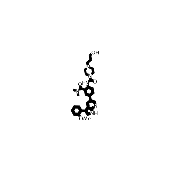 COc1ccccc1-c1c[nH]c2ncc(-c3ccc(NC(=O)N4CCN(CCCO)CC4)c(C(=O)N(C)C)c3)cc12